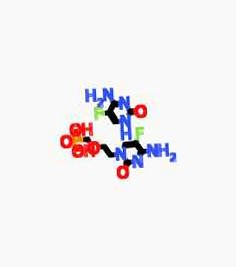 Nc1nc(=O)[nH]cc1F.Nc1nc(=O)n(CCOCP(=O)(O)O)cc1F